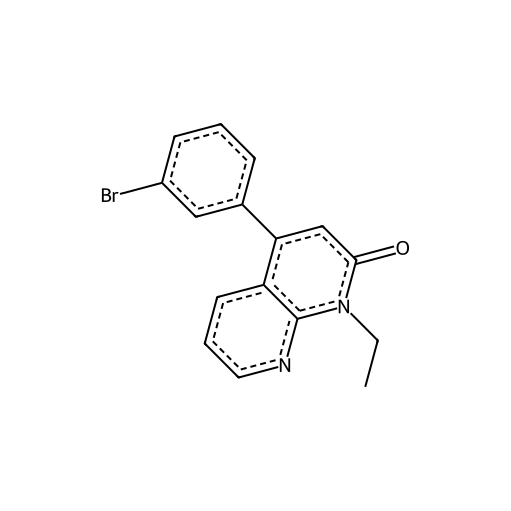 CCn1c(=O)cc(-c2cccc(Br)c2)c2cccnc21